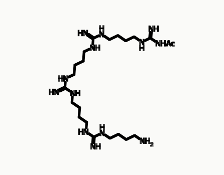 CC(=O)NC(=N)NCCCCNC(=N)NCCCCNC(=N)NCCCCNC(=N)NCCCCN